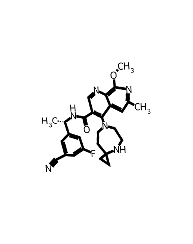 COc1nc(C)cc2c(N3CCNC4(CC3)CC4)c(C(=O)N[C@@H](C)c3cc(F)cc(C#N)c3)cnc12